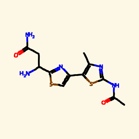 CC(=O)Nc1nc(C)c(-c2csc(C(N)CC(N)=O)n2)s1